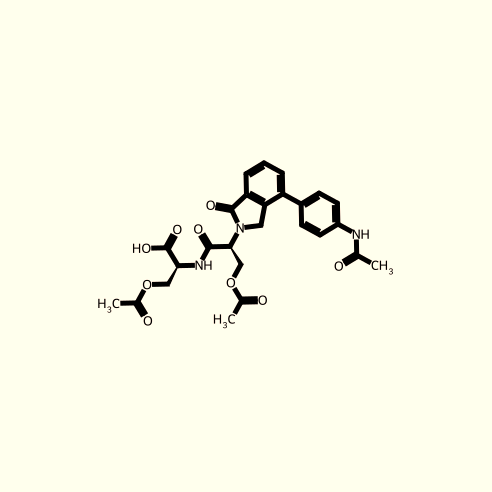 CC(=O)Nc1ccc(-c2cccc3c2CN([C@@H](COC(C)=O)C(=O)N[C@@H](COC(C)=O)C(=O)O)C3=O)cc1